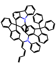 C=C/C=C\C=C(\c1ccc2c(c1)C1(c3ccccc3-2)c2ccccc2-n2c3ccccc3c3cccc1c32)N(c1ccccc1)c1cccc2c1-c1ccccc1C2(c1ccccc1)c1ccccc1